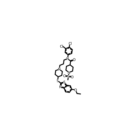 CCOc1ccc2nc(SC3CCN(CCCN(C(=O)C4CCN(S(C)(=O)=O)CC4)c4ccc(Cl)c(Cl)c4)CC3)sc2c1